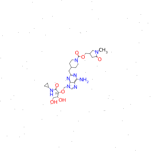 CN1CC(COC(=O)N2CCC(Cc3nc(N)c4ncn(CO[C@H](C(=O)NC5CC5)C(O)CO)c4n3)CC2)CC1=O